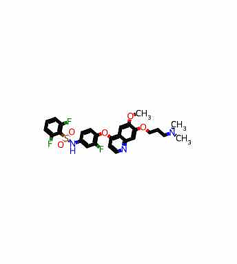 COc1cc2c(Oc3ccc(NS(=O)(=O)c4c(F)cccc4F)cc3F)ccnc2cc1OCCCN(C)C